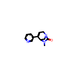 CN1C(=O)N2CC=C(c3cccnc3)C1C2